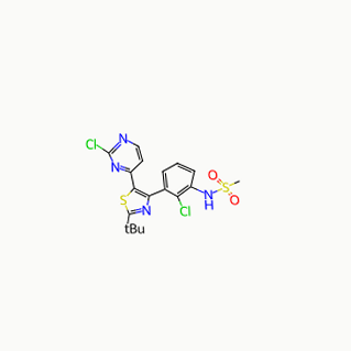 CC(C)(C)c1nc(-c2cccc(NS(C)(=O)=O)c2Cl)c(-c2ccnc(Cl)n2)s1